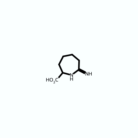 N=C1CCCCC(C(=O)O)N1